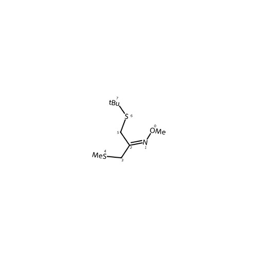 CO/N=C(/CSC)CSC(C)(C)C